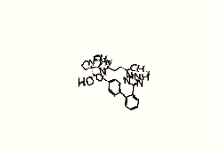 CCCCc1nc(Cl)c([C@@]2(C(=O)O)CCCN2C)n1Cc1ccc(-c2ccccc2-c2nn[nH]n2)cc1